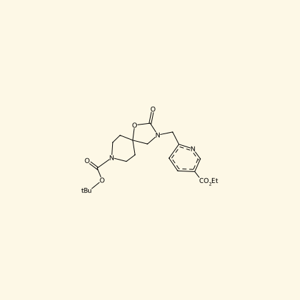 CCOC(=O)c1ccc(CN2CC3(CCN(C(=O)OC(C)(C)C)CC3)OC2=O)nc1